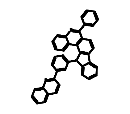 c1ccc(-c2nc3ccccc3c3c2ccc2c4ccccc4n(-c4cccc(-c5ccc6ccccc6n5)c4)c23)cc1